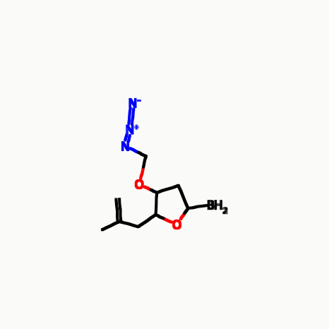 BC1CC(OCN=[N+]=[N-])C(CC(=C)C)O1